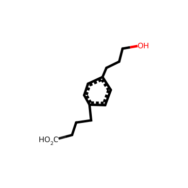 O=C(O)CCCc1ccc(CCCO)cc1